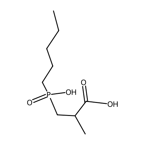 CCCCCP(=O)(O)CC(C)C(=O)O